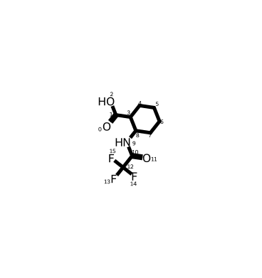 O=C(O)C1CCCCC1NC(=O)C(F)(F)F